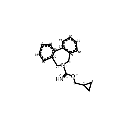 N=C(OCC1CC1)N1Cc2ccccc2-c2ccccc2C1